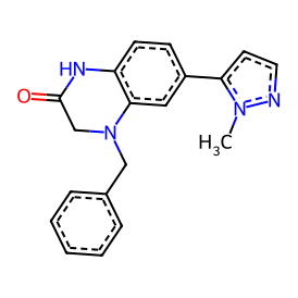 Cn1nccc1-c1ccc2c(c1)N(Cc1ccccc1)CC(=O)N2